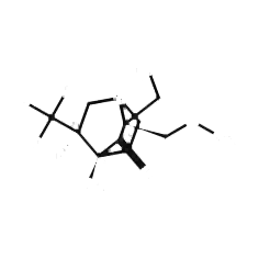 COC[C@@]1(CO)C(=O)[C@]2(C)CCN1C[C@@H]2C(F)(F)F